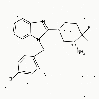 N[C@@H]1CN(c2nc3ccccc3n2Cc2ccc(Cl)cn2)CCC1(F)F